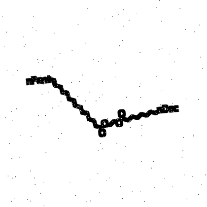 CCCCCC=CCC=CCC=CCC=CCCCC(=O)OCCOC(=O)CCCCCCCCCCCCCCCCC